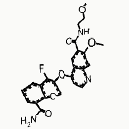 COCCNC(=O)c1cc2c(Oc3ccc4c(C(N)=O)cccc4c3F)ccnc2cc1OC